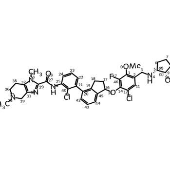 COc1c(CN[C@@H]2CCC[C@@H]2O)cc(Cl)c(OC2CCc3c(-c4cccc(NC(=O)c5nc6c(n5C)CCN(C)C6)c4Cl)cccc32)c1F